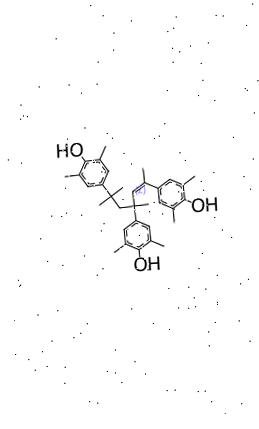 C/C(=C/C(C)(CC(C)(C)c1cc(C)c(O)c(C)c1)c1cc(C)c(O)c(C)c1)c1cc(C)c(O)c(C)c1